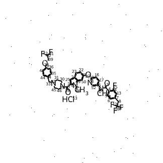 CN(C(=O)c1ccc(CC(F)(F)F)cc1F)c1ccc(Oc2ccc3cc(C(=O)N4CCN(Cc5ccc(OCC(F)F)cc5)CC4)n(C)c3c2)nc1.Cl